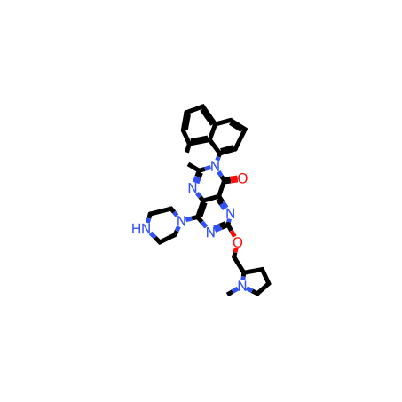 Cc1cccc2cccc(-n3c(C)nc4c(N5CCNCC5)nc(OCC5CCCN5C)nc4c3=O)c12